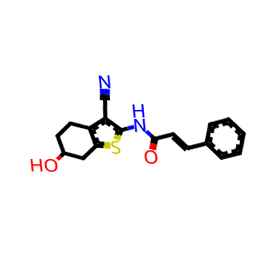 N#Cc1c(NC(=O)C=Cc2ccccc2)sc2c1CCC(O)C2